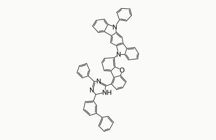 c1ccc(C2=NC(c3cccc(-c4ccccc4)c3)NC(c3cccc4oc5c(-n6c7ccccc7c7cc8c(cc76)c6ccccc6n8-c6ccccc6)cccc5c34)=N2)cc1